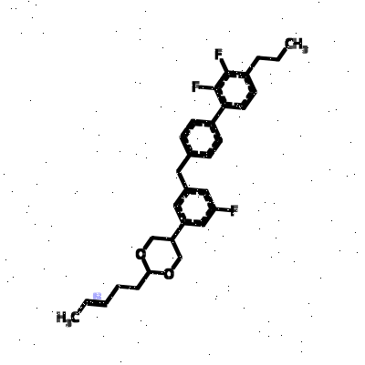 C/C=C/CCC1OCC(c2cc(F)cc(Cc3ccc(-c4ccc(CCC)c(F)c4F)cc3)c2)CO1